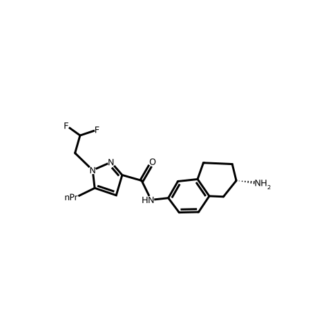 CCCc1cc(C(=O)Nc2ccc3c(c2)CC[C@H](N)C3)nn1CC(F)F